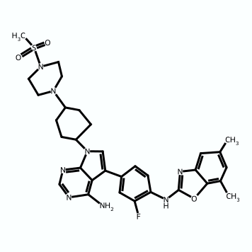 Cc1cc(C)c2oc(Nc3ccc(-c4cn(C5CCC(N6CCN(S(C)(=O)=O)CC6)CC5)c5ncnc(N)c45)cc3F)nc2c1